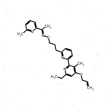 C=CCOc1cc(CC)nc(-c2cccc(CCCO/N=C(\C)c3cccc(C)n3)n2)c1C